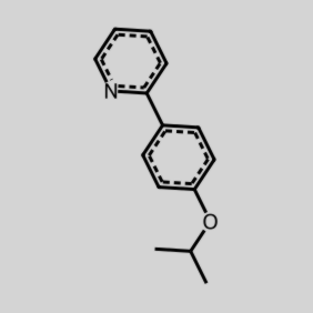 CC(C)Oc1ccc(-c2ccccn2)cc1